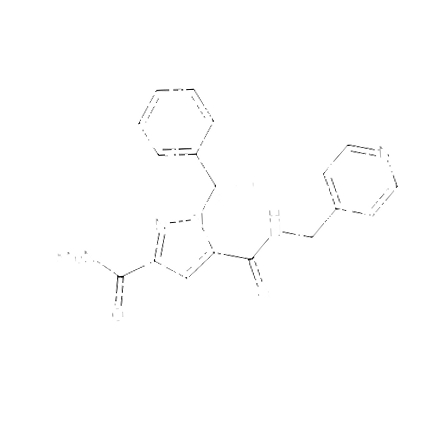 CNC(=O)c1cc(C(=O)NCc2ccncc2)n([C@@H](C)c2ccccc2)n1